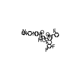 O=C(C=C(O)c1cc(Cc2c(F)cc(F)cc2F)cn(Cc2ccccc2F)c1=O)C(=O)N1CCN(c2ccc(-n3cccn3)cc2)CC1